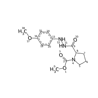 COC(=O)N1CCCC1C(=O)NNc1ccc(OC)cc1